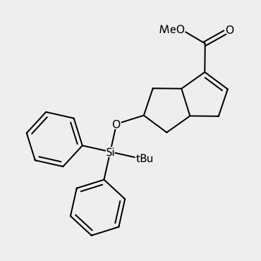 COC(=O)C1=CCC2CC(O[Si](c3ccccc3)(c3ccccc3)C(C)(C)C)CC12